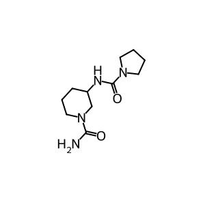 NC(=O)N1CCCC(NC(=O)N2CCCC2)C1